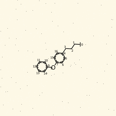 ICCCc1ccc(Oc2ccccc2)cc1